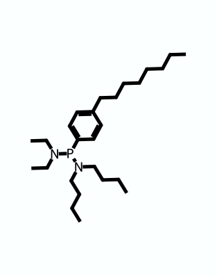 CCCCCCCCc1ccc(P(N(CC)CC)N(CCCC)CCCC)cc1